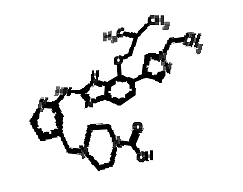 CCn1cc(-c2ccc3nc(Nc4cc(CN5CCN(C(=O)O)CC5)ccn4)[nH]c3c2OCC(C)C)cn1